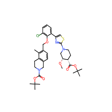 CO[C@@H]1CN(c2nc(-c3cccc(Cl)c3OCc3ccc4c(c3C)CCN(C(=O)OC(C)(C)C)C4)cs2)CC[C@@H]1C(=O)OC(C)(C)C